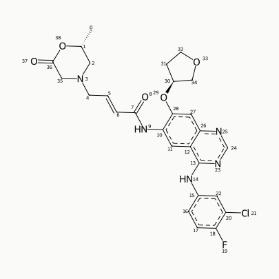 C[C@@H]1CN(C/C=C/C(=O)Nc2cc3c(Nc4ccc(F)c(Cl)c4)ncnc3cc2O[C@H]2CCOC2)CC(=O)O1